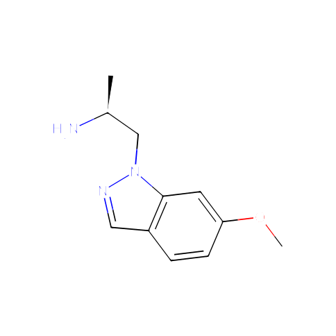 COc1ccc2cnn(C[C@H](C)N)c2c1